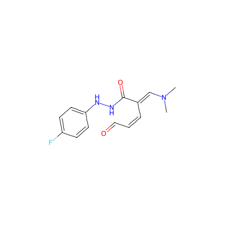 CN(C)/C=C(\C=C/C=O)C(=O)NNc1ccc(F)cc1